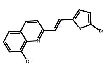 Oc1cccc2ccc(/C=C/c3ccc(Br)s3)nc12